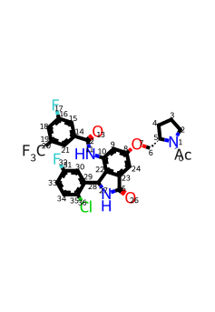 CC(=O)N1CCC[C@H]1COc1cc(NC(=O)c2cc(F)cc(C(F)(F)F)c2)c2c(c1)C(=O)NC2c1cc(F)ccc1Cl